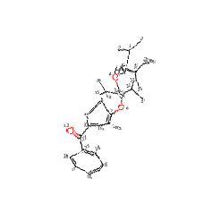 CC(C)[SiH](O[Si](Oc1ccc(C(=O)c2ccccc2)cc1)(C(C)C)C(C)C)C(C)C